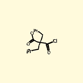 CC(C)CC(CC(C)C)(C(=O)Cl)C(=O)Cl